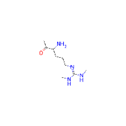 CNC(=NCCCC(N)C(C)=O)NC